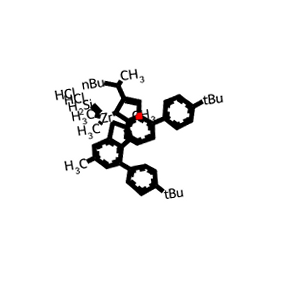 CCCCC(C)C1=Cc2c(-c3ccc(C(C)(C)C)cc3)cccc2[CH]1[Zr]([CH3])([CH3])(=[SiH2])[CH]1C(C)=Cc2c(-c3ccc(C(C)(C)C)cc3)cc(C)cc21.Cl.Cl